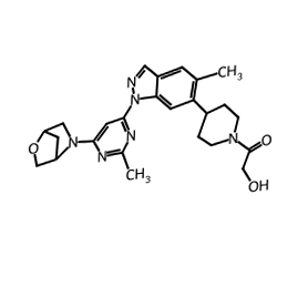 Cc1nc(N2CC3CC2CO3)cc(-n2ncc3cc(C)c(C4CCN(C(=O)CO)CC4)cc32)n1